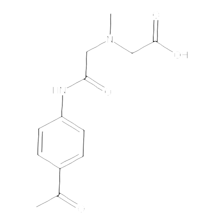 CC(=O)c1ccc(NC(=O)CN(C)CC(=O)O)cc1